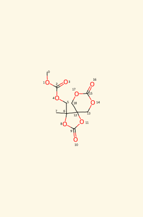 COC(=O)OCC1(C)OC(=O)OC12COC(=O)OC2